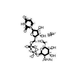 CC(=O)N[C@H]1C(OP(=O)([O-])OP(=O)([O-])OC[C@H]2OC(n3ccc(=O)[nH]c3=O)[C@H](O)[C@@H]2O)O[C@H](CO)[C@H](O)[C@@H]1O.[Na+].[Na+]